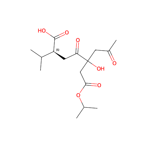 CC(=O)CC(O)(CC(=O)OC(C)C)C(=O)C[C@H](C(=O)O)C(C)C